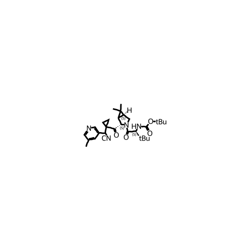 Cc1cncc(C(C#N)C2(C(=O)[C@@H]3C4[C@H](CN3C(=O)[C@@H](NC(=O)OC(C)(C)C)C(C)(C)C)C4(C)C)CC2)c1